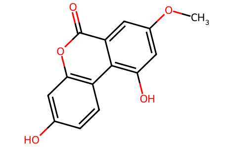 COc1cc(O)c2c(c1)c(=O)oc1cc(O)ccc12